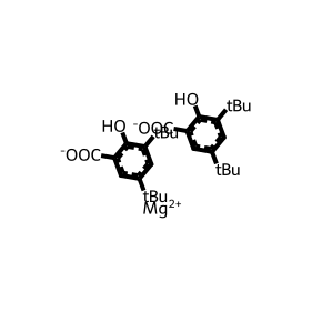 CC(C)(C)c1cc(C(=O)[O-])c(O)c(C(C)(C)C)c1.CC(C)(C)c1cc(C(=O)[O-])c(O)c(C(C)(C)C)c1.[Mg+2]